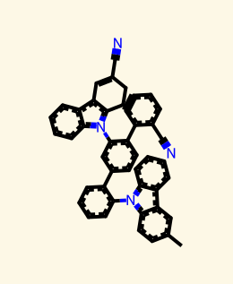 Cc1ccc2c(c1)c1ccccc1n2-c1ccccc1-c1ccc(-c2c#cccc2C#N)c(-n2c3c(c4ccccc42)C=C(C#N)CC3)c1